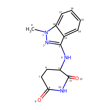 Cn1nc(NC2CCC(=O)NC2=O)c2ccccc21